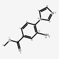 COC(=O)c1ccc(-n2ccnc2)c(N)c1